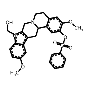 COc1ccc2c(c1)c1c(n2CO)CN2CCc3cc(OC)c(OS(=O)(=O)c4ccccc4)cc3C2C1